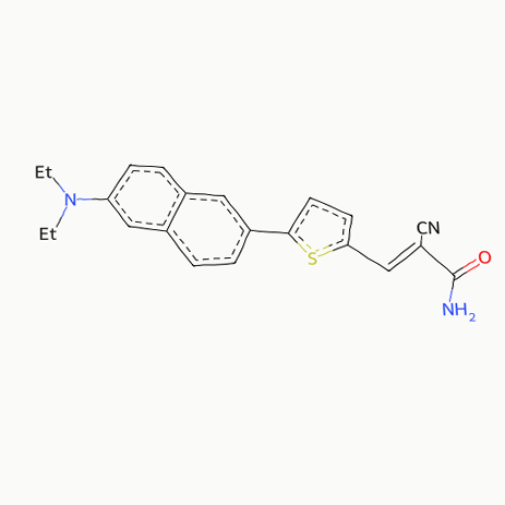 CCN(CC)c1ccc2cc(-c3ccc(/C=C(\C#N)C(N)=O)s3)ccc2c1